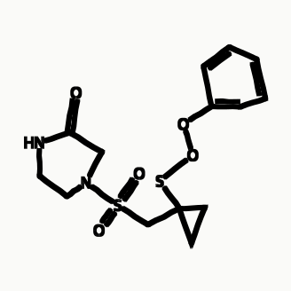 O=C1CN(S(=O)(=O)CC2(SOOc3ccccc3)CC2)CCN1